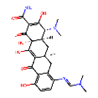 CN(C)/C=N/c1ccc(O)c2c1C[C@@H]1C[C@@H]3[C@@H](N(C)C)C(O)=C(C(N)=O)C(=O)[C@]3(O)C(O)=C1C2=O